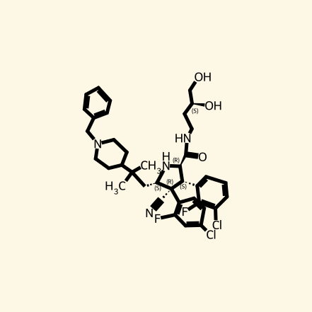 CC(C)(C[C@@H]1N[C@@H](C(=O)NCC[C@H](O)CO)[C@H](c2cccc(Cl)c2F)[C@@]1(C#N)c1ccc(Cl)cc1F)C1CCN(Cc2ccccc2)CC1